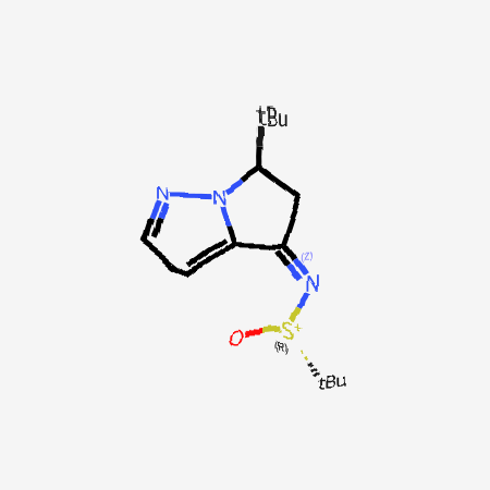 CC(C)(C)C1C/C(=N/[S@@+]([O-])C(C)(C)C)c2ccnn21